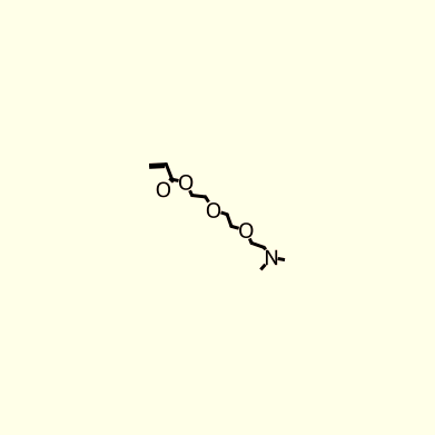 C=CC(=O)OCCOCCOCCN(C)C